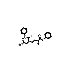 O=C(O)CN(CCNC(=O)Oc1ccccc1)C(=O)Oc1ccccc1